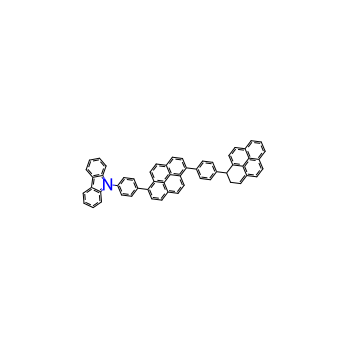 C1=c2ccc3cccc4ccc(c2c43)C(c2ccc(-c3ccc4ccc5c(-c6ccc(-n7c8ccccc8c8ccccc87)cc6)ccc6ccc3c4c65)cc2)C1